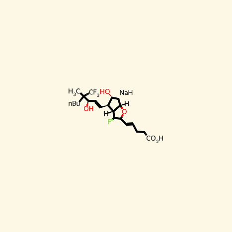 CCCCC(C)([C@H](O)/C=C/[C@@H]1[C@H]2C(F)C(/C=C/CCC(=O)O)O[C@H]2C[C@H]1O)C(F)(F)F.[NaH]